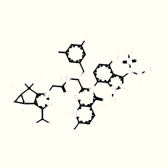 CPN(c1nn(C)c2c(-n3c([C@H](Cc4cc(F)cc(F)c4)NC(=O)Cn4nc(C(F)F)c5c4C(F)(F)[C@@H]4C[C@H]54)nc4nc(Cl)ccc4c3=O)ccc(Cl)c12)S(C)(=O)=O